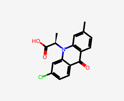 Cc1ccc2c(=O)c3ccc(Cl)cc3n([C@H](C)C(=O)O)c2c1